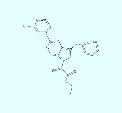 CCOC(=O)C(=O)c1cn(Cc2ccccc2)c2cc(-c3cccc(Cl)c3)ccc12